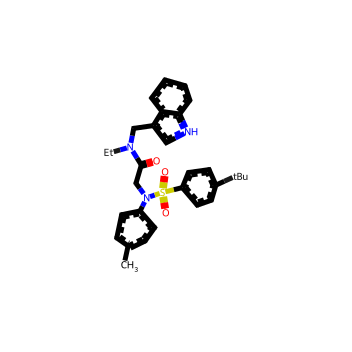 CCN(Cc1c[nH]c2ccccc12)C(=O)CN(c1ccc(C)cc1)S(=O)(=O)c1ccc(C(C)(C)C)cc1